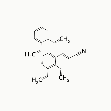 C=Cc1cccc(C=CC#N)c1C=C.C=Cc1ccccc1C=C